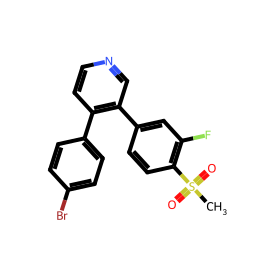 CS(=O)(=O)c1ccc(-c2cnccc2-c2ccc(Br)cc2)cc1F